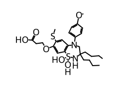 CCCCC1(CCCC)CN(c2ccc(OC)cc2)c2cc(SC)c(OCCC(=O)O)cc2S(O)(O)N1